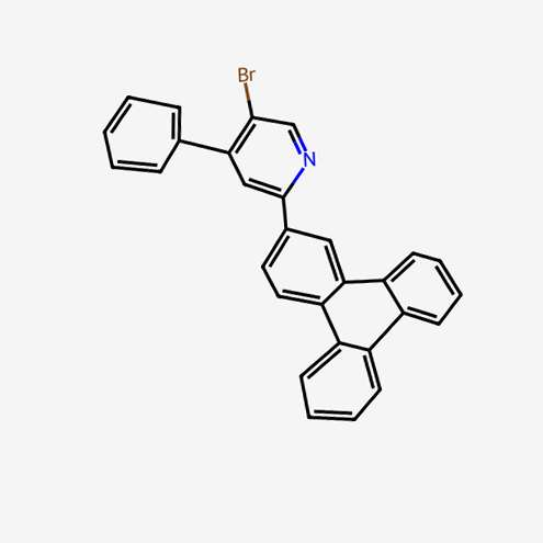 Brc1cnc(-c2ccc3c4ccccc4c4ccccc4c3c2)cc1-c1ccccc1